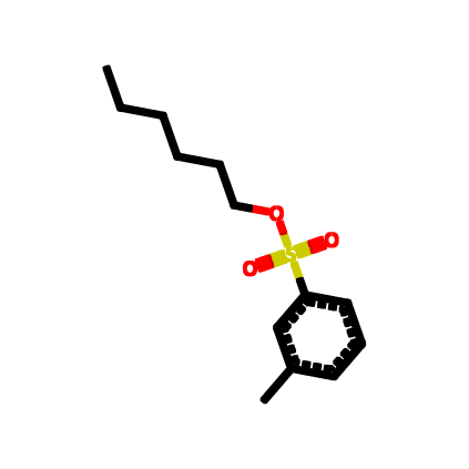 CCCCCCOS(=O)(=O)c1cccc(C)c1